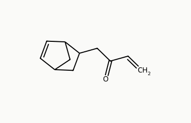 C=CC(=O)CC1CC2C=CC1C2